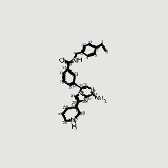 CCc1ccc(CNC(=O)c2cccc(-c3cnc(N)c4nc(C5CCCNC5)cn34)c2)cc1